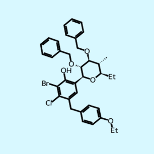 CCOc1ccc(Cc2cc([C@@H]3O[C@H](CC)[C@@H](C)[C@H](OCc4ccccc4)[C@H]3OCc3ccccc3)c(O)c(Br)c2Cl)cc1